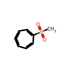 CS(=O)(=O)C1=CC=C=CC=C1